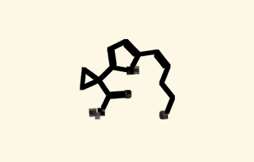 NC(=O)C1(c2ccc(/C=C\CCCl)[nH]2)CC1